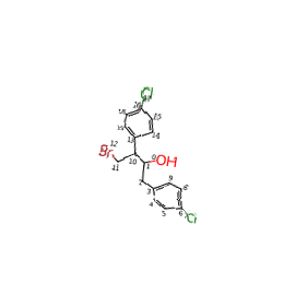 OC(Cc1ccc(Cl)cc1)C(CBr)c1ccc(Cl)cc1